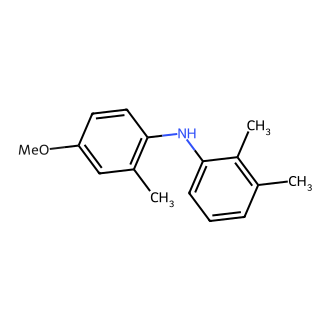 COc1ccc(Nc2cccc(C)c2C)c(C)c1